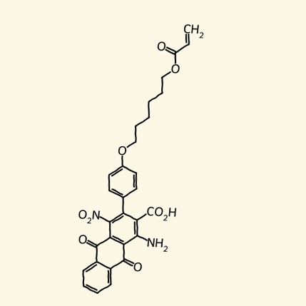 C=CC(=O)OCCCCCCOc1ccc(-c2c(C(=O)O)c(N)c3c(c2[N+](=O)[O-])C(=O)c2ccccc2C3=O)cc1